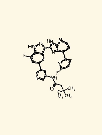 CC(C)(C)CC(=O)Nc1cncc(-c2cc(F)c3[nH]nc(-c4nc5c(-c6ccc(F)s6)ccnc5[nH]4)c3c2)c1